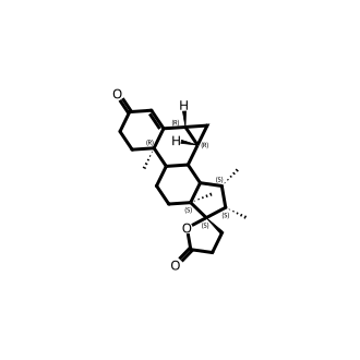 C[C@H]1C2C3C(CC[C@]2(C)[C@]2(CCC(=O)O2)[C@H]1C)[C@@]1(C)CCC(=O)C=C1[C@@H]1C[C@H]31